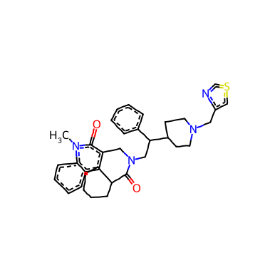 Cn1c(=O)c(CN(CC(c2ccccc2)C2CCN(Cc3cscn3)CC2)C(=O)C2CCCCC2)cc2ccccc21